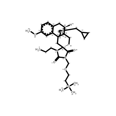 CCCN1C(=O)N(COCC[Si](C)(C)C)C(=O)[C@@]12CC[C@@]1(O)[C@H]3Cc4ccc(OC)cc4[C@@]1(CCN3CC1CC1)C2